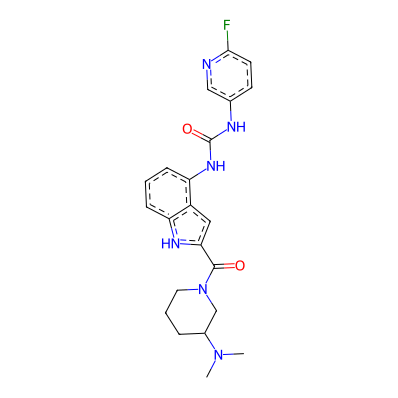 CN(C)C1CCCN(C(=O)c2cc3c(NC(=O)Nc4ccc(F)nc4)cccc3[nH]2)C1